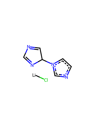 C1=NC=NC1n1ccnc1.[Li][Cl]